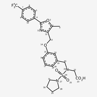 Cc1oc(-c2ccc(C(F)(F)F)cc2)nc1COc1cccc(CN(CC(=O)O)S(=O)(=O)N2CCCC2)c1